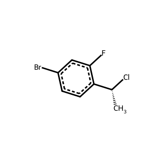 C[C@@H](Cl)c1ccc(Br)cc1F